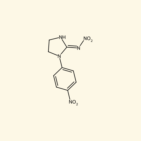 O=[N+]([O-])/N=C1\NCCN1c1ccc([N+](=O)[O-])cc1